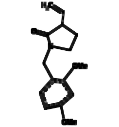 C=CC1CCN(Cc2ccc(OC)cc2OC)C1=O